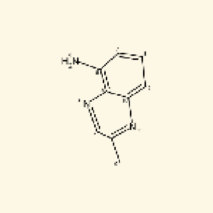 Cc1cnc2c(N)cccc2n1